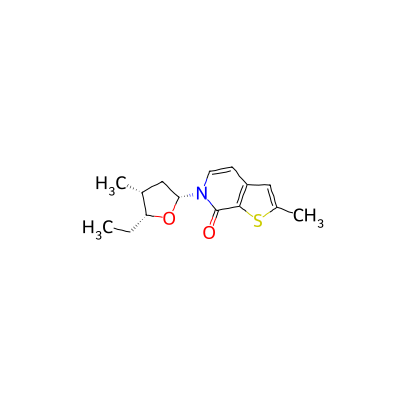 CC[C@H]1O[C@@H](n2ccc3cc(C)sc3c2=O)C[C@H]1C